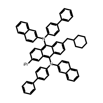 CC(C)c1ccc2c(N(c3ccc(-c4ccccc4)cc3)c3ccc4ccccc4c3)c3cc(CC4CCCCC4)ccc3c(N(c3ccc(-c4ccccc4)cc3)c3ccc4ccccc4c3)c2c1